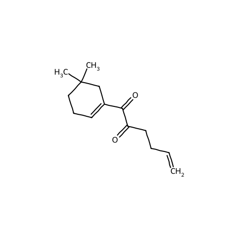 C=CCCC(=O)C(=O)C1=CCCC(C)(C)C1